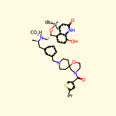 CC(C)c1cc(C(=O)N2CCOC3(CCN(Cc4cccc(C[C@@H](C)N(C[C@H](O[Si](C)(C)C(C)(C)C)c5ccc(O)c6[nH]c(=O)ccc56)C(=O)O)c4)CC3)C2)cs1